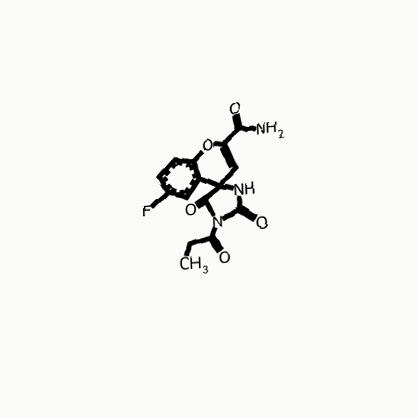 CCC(=O)N1C(=O)NC2(C=C(C(N)=O)Oc3ccc(F)cc32)C1=O